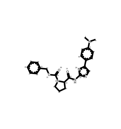 CN(C)c1ccc(-c2csc(NC(=O)C3CCCN3C(=O)OCc3ccccc3)n2)cc1